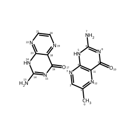 Cc1cnc2[nH]c(N)nc(=O)c2n1.Nc1nc(=O)c2nccnc2[nH]1